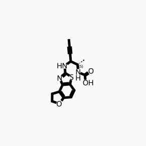 CC#CC(Nc1nc2c3c(ccc2s1)OCC3)[C@H](C)NC(=O)O